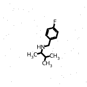 CC(C)C(C)NCc1ccc(F)cc1